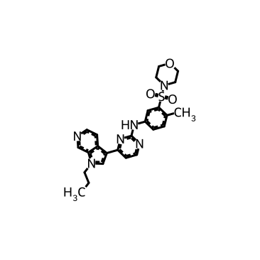 CCCn1cc(-c2ccnc(Nc3ccc(C)c(S(=O)(=O)N4CCOCC4)c3)n2)c2ccncc21